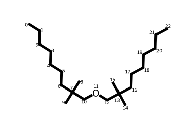 CCCCCCCC(C)(C)COCC(C)(C)CCCCCCC